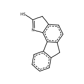 SC1=Nc2c(ccc3c2-c2ccccc2C3)C1